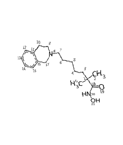 CC(C)(CCCCCN1CCc2ccccc2C1)C(=O)NO